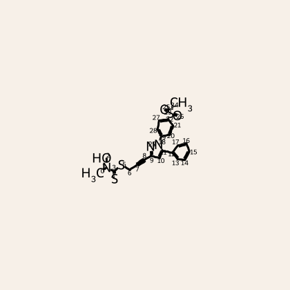 CN(O)C(=S)SCC#Cc1cc(-c2ccccc2)n(-c2ccc(S(C)(=O)=O)cc2)n1